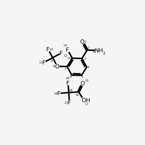 NC(=O)c1cccc(OC(F)(F)F)c1F.O=C(O)C(F)(F)F